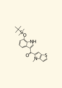 Cn1c(C(=O)c2c[nH]c3c(O[Si](C)(C)C(C)(C)C)cccc23)cc2sccc21